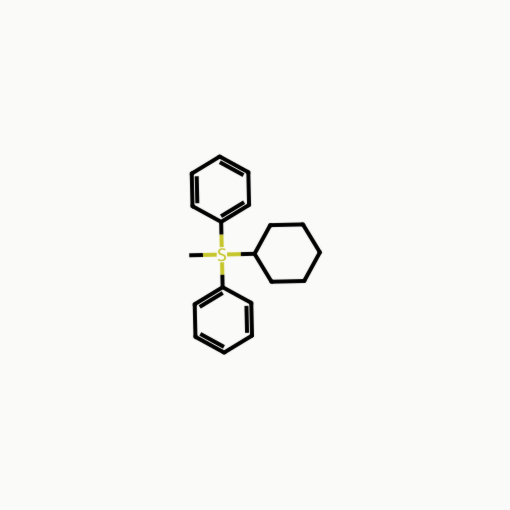 CS(c1ccccc1)(c1ccccc1)C1CCCCC1